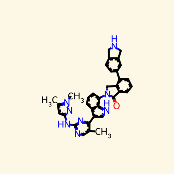 Cc1cnc(Nc2cc(C)n(C)n2)nc1-c1c[nH]c2c(N3Cc4c(cccc4-c4ccc5c(c4)CNC5)C3=O)cccc12